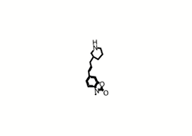 Cn1c(=O)oc2cc(C=CCC3CCCNC3)ccc21